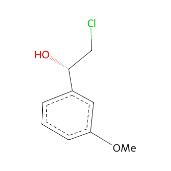 COc1cccc([C@H](O)CCl)c1